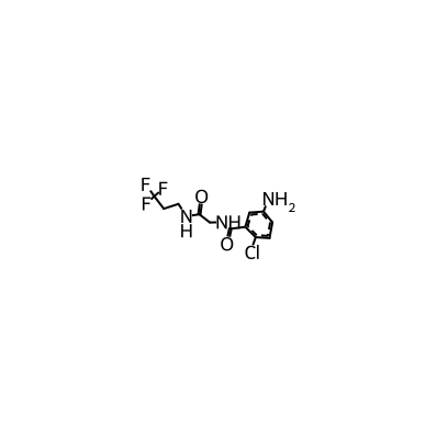 Nc1ccc(Cl)c(C(=O)NCC(=O)NCCC(F)(F)F)c1